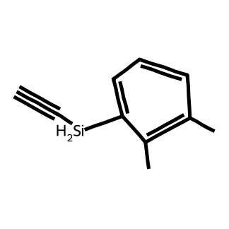 C#C[SiH2]c1cccc(C)c1C